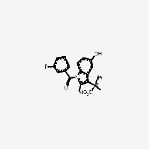 Cc1c([C@](C)(C(=O)O)C(C)C)c2cc(O)ccc2n1C(=O)c1cccc(F)c1